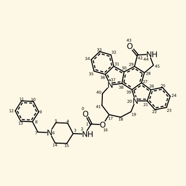 O=C(NC1CCN(Cc2ccccc2)CC1)OC1CCn2c3ccccc3c3c4c(c5c6ccccc6n(c5c32)CC1)C(=O)NC4